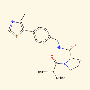 CC(=O)NC(C(=O)N1CCC[C@H]1C(=O)NCc1ccc(-c2scnc2C)cc1)C(C)(C)C